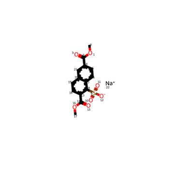 COC(=O)c1ccc2c(S(=O)(=O)[O-])c(C(=O)OC)ccc2c1.[Na+]